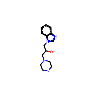 OC(CN1CC[N]CC1)Cn1cnc2ccccc21